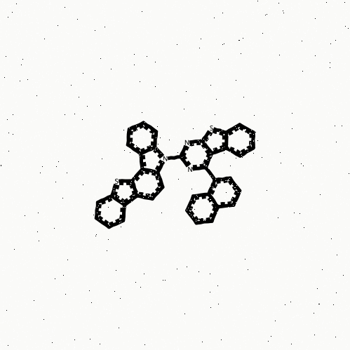 c1ccc2c(-c3nc(-n4c5ccccc5c5c6sc7ccccc7c6ccc54)nc4sc5ccccc5c34)cccc2c1